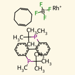 C1=C\CC/C=C\CC/1.C[P@](c1ccccc1-c1ccccc1[P@@](C)C(C)(C)C)C(C)(C)C.F[B-](F)(F)F.[Rh+]